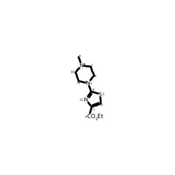 CCOC(=O)c1csc(N2CCN(C)CC2)n1